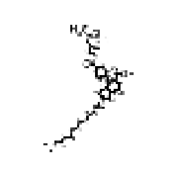 C=CCCCCCCCCCOc1ccc2c(-c3ccc(C(=O)OC[C@@H](Cl)CC(C)C)cc3)c(C(=O)O)ccc2c1